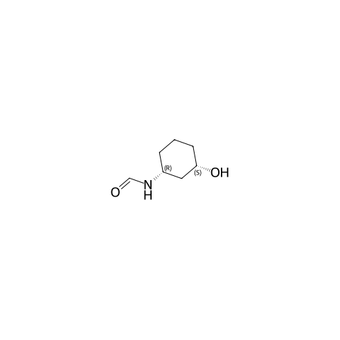 O=CN[C@@H]1CCC[C@H](O)C1